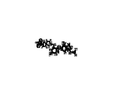 CS(=O)(=O)N1CCC2(CCN(Cc3cc(F)cnc3Oc3ccc4c(nnn4CC4CC4)c3Br)C2)C1